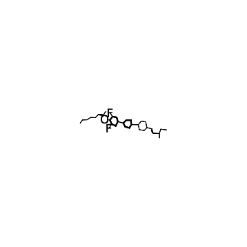 CCCCC/C=C(/C)Oc1c(F)cc(-c2ccc(C3CCC(/C=C/C(C)CC)CC3)cc2)cc1F